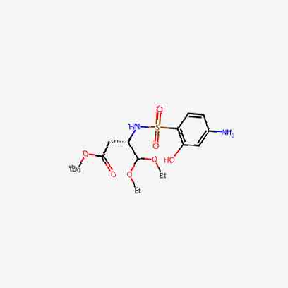 CCOC(OCC)[C@H](CC(=O)OC(C)(C)C)NS(=O)(=O)c1ccc(N)cc1O